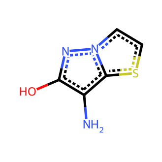 Nc1c(O)nn2ccsc12